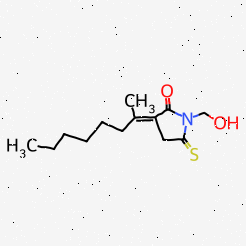 CCCCCCC(C)=C1CC(=S)N(CO)C1=O